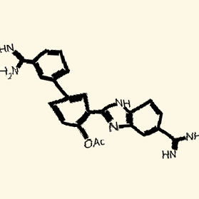 CC(=O)Oc1ccc(-c2cccc(C(=N)N)c2)cc1-c1nc2cc(C(=N)N)ccc2[nH]1